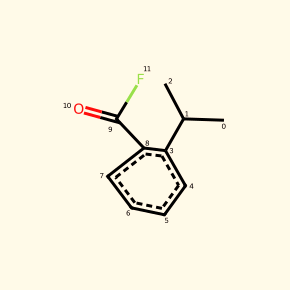 CC(C)c1ccccc1C(=O)F